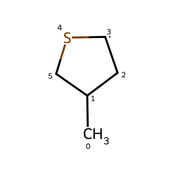 CC1C[CH]SC1